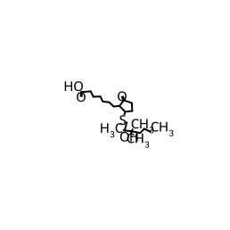 CCCCC(C)(C)C(C)(O)CSC1CCC(=O)C1CCCCCCC(=O)O